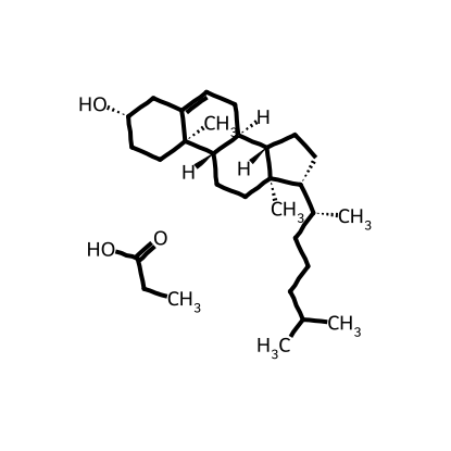 CC(C)CCC[C@@H](C)[C@H]1CC[C@H]2[C@@H]3CC=C4C[C@@H](O)CC[C@]4(C)[C@H]3CC[C@]12C.CCC(=O)O